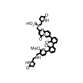 COc1nc(-c2cccc(-c3cccc(-c4ccc5nc(CN(CC6CCC(=O)N6)C(=O)O)cc(=O)n5c4)c3Cl)c2Cl)ccc1CNCC1CCC(=O)N1